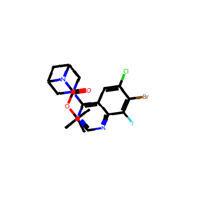 CC(C)(C)OC(=O)N1C2CC1CN(c1ncnc3c(F)c(Br)c(Cl)cc13)C2